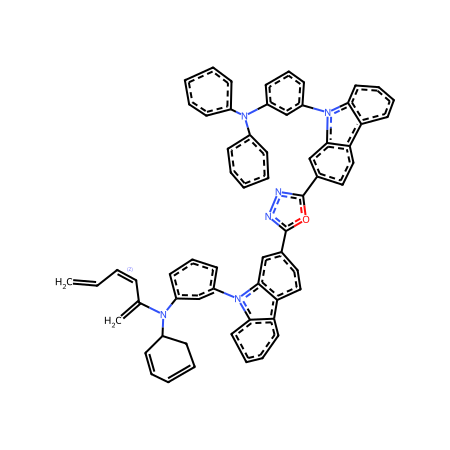 C=C/C=C\C(=C)N(c1cccc(-n2c3ccccc3c3ccc(-c4nnc(-c5ccc6c7ccccc7n(-c7cccc(N(c8ccccc8)c8ccccc8)c7)c6c5)o4)cc32)c1)C1C=CC=CC1